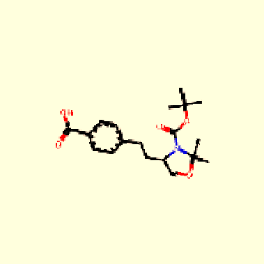 CC(C)(C)OC(=O)N1C(CCc2ccc(C(=O)O)cc2)COC1(C)C